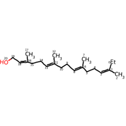 CC/C(C)=C\CC/C(C)=C/CC/C(C)=C/CC/C(C)=C/CO